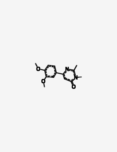 COc1ccc(-c2cc(=O)n(C)c(C)n2)cc1OC